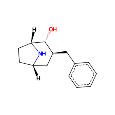 O[C@@H]1[C@@H](Cc2ccccc2)C[C@@H]2CC[C@H]1N2